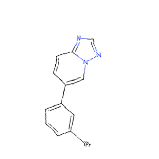 CC(C)c1cccc(-c2ccc3ncnn3c2)c1